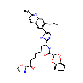 COc1cc2nc(C)ccc2cc1-c1cnc(C(CCCCCC(=O)c2ncco2)NC(=O)C2COc3ccccc3O2)[nH]1